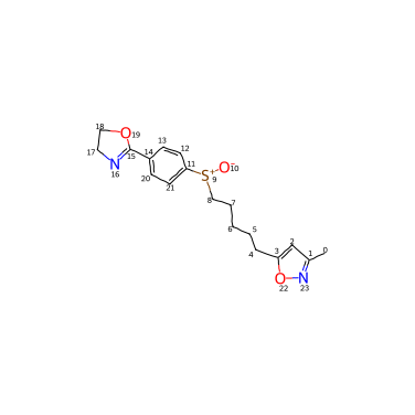 Cc1cc(CCCCC[S+]([O-])c2ccc(C3=NCCO3)cc2)on1